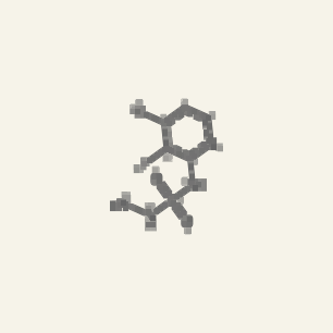 [2H]c1ccnc(NS(=O)(=O)NCCC)c1F